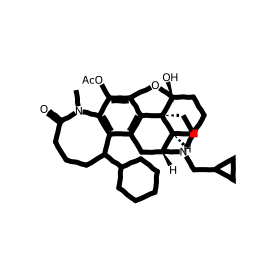 CC(=O)Oc1c2c3c(c4c1N(C)C(=O)CCCC4C1CCCCC1)C[C@@H]1[C@@H]4CCC[C@@](O)(O2)[C@]34CCN1CC1CC1